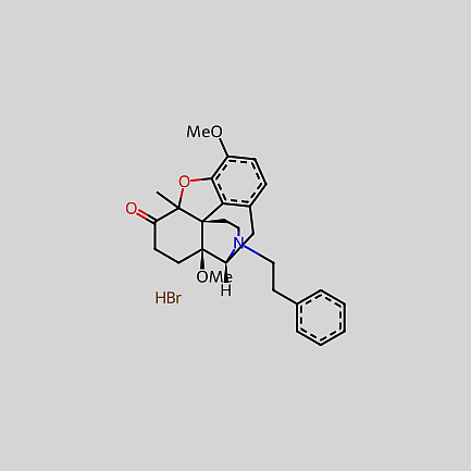 Br.COc1ccc2c3c1OC1(C)C(=O)CC[C@@]4(OC)[C@@H](C2)N(CCc2ccccc2)CC[C@]314